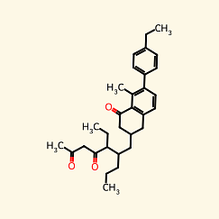 CCCC(CC1CC(=O)c2c(ccc(-c3ccc(CC)cc3)c2C)C1)C(CC)C(=O)CC(C)=O